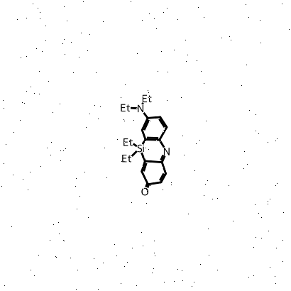 CCN(CC)c1ccc2c(c1)[Si](CC)(CC)C1=CC(=O)C=CC1=N2